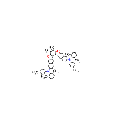 Cc1ccc(N(c2ccc3cc4c(cc3c2)oc2c(C)c(C)c3oc5cc6cc(N(c7ccc(C)cc7)c7c(C)cccc7C)ccc6cc5c3c24)c2c(C)cccc2C)cc1